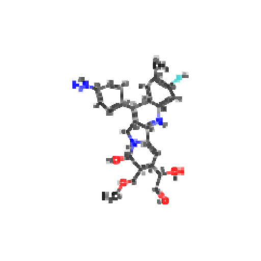 COCc1c(C(O)C=O)cc2n(c1=O)Cc1c-2nc2cc(F)c(C)cc2c1-c1ccc(N)cc1